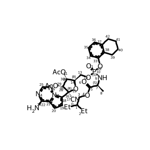 CCC(CC)COC(=O)[C@H](C)N[P@](=O)(OC[C@H]1O[C@@](C#N)(c2ccc3c(N)ncnn23)[C@H](OC(C)=O)[C@@H]1OC(C)=O)Oc1cccc2c1CCCC2